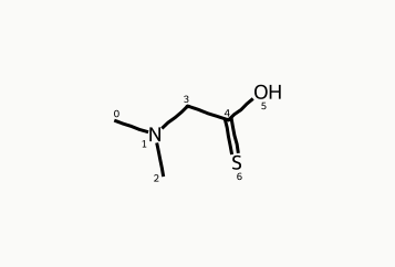 CN(C)CC(O)=S